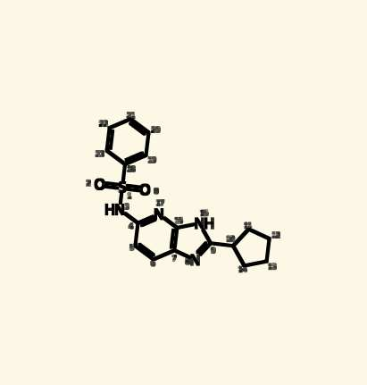 O=S(=O)(Nc1ccc2nc(C3CCCC3)[nH]c2n1)c1ccccc1